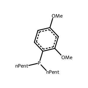 CCCCCP(CCCCC)c1ccc(OC)cc1OC